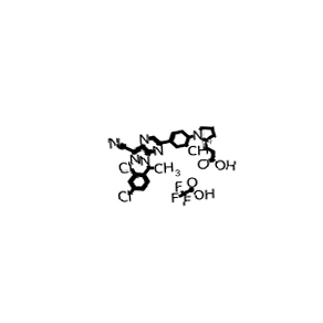 CC1CC(c2cnc3c(C#N)nn(C(C)c4ccc(Cl)cc4Cl)c3n2)=CCC1N1CCC[C@H]1CCC(=O)O.O=C(O)C(F)(F)F